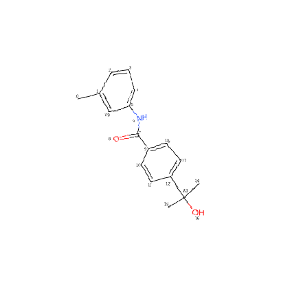 Cc1cccc(NC(=O)c2ccc(C(C)(C)O)cc2)c1